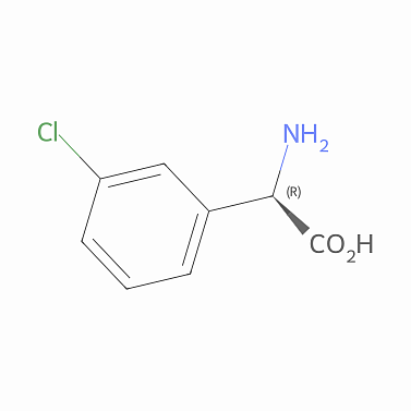 N[C@@H](C(=O)O)c1cccc(Cl)c1